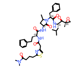 CC(C)C[C@H](NC(=O)[C@H](Cc1ccccc1)N1C(=O)[C@@H](NC(=O)[C@H](CCc2ccccc2)NC(=O)Cc2csc(CCCC(=O)N(C)C)n2)CC1C)C(=O)[C@@]1(C)CO1